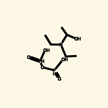 CCN(CC)C(C)O.O=[PH](O)O[PH](=O)O